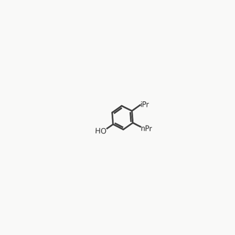 CCCc1cc(O)ccc1C(C)C